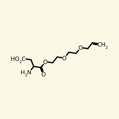 C=CCOCCOCCOC(=O)C(N)CC(=O)O